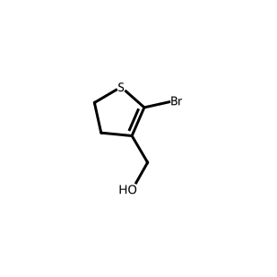 OCC1=C(Br)SCC1